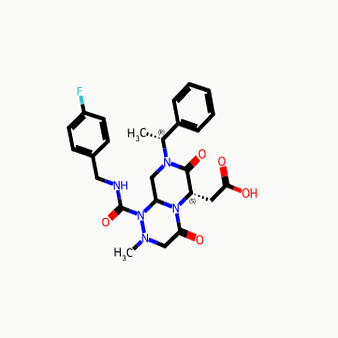 C[C@H](c1ccccc1)N1CC2N(C(=O)CN(C)N2C(=O)NCc2ccc(F)cc2)[C@@H](CC(=O)O)C1=O